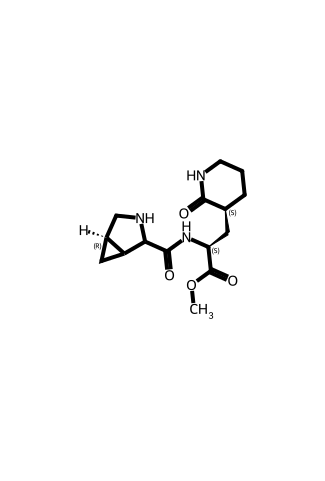 COC(=O)[C@H](C[C@@H]1CCCNC1=O)NC(=O)C1NC[C@@H]2CC12